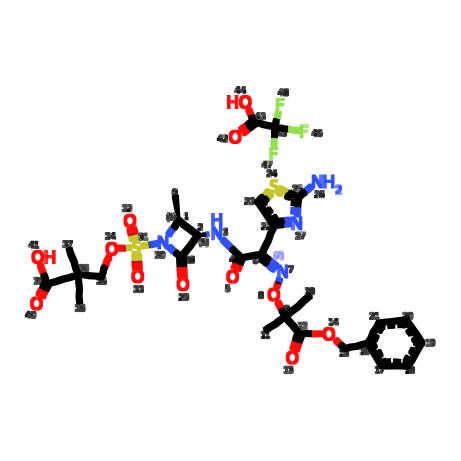 C[C@H]1[C@H](NC(=O)/C(=N\OC(C)(C)C(=O)OCc2ccccc2)c2csc(N)n2)C(=O)N1S(=O)(=O)OCC(C)(C)C(=O)O.O=C(O)C(F)(F)F